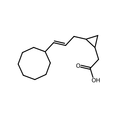 O=C(O)CC1CC1CC=CC1CCCCCCC1